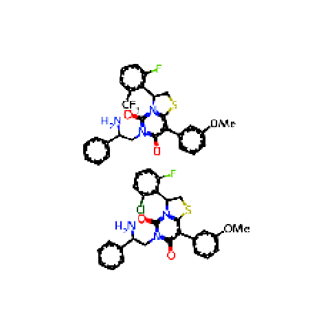 COc1cccc(-c2c3n(c(=O)n(CC(N)c4ccccc4)c2=O)C(c2c(F)cccc2C(F)(F)F)CS3)c1.COc1cccc(-c2c3n(c(=O)n(CC(N)c4ccccc4)c2=O)C(c2c(F)cccc2Cl)CS3)c1